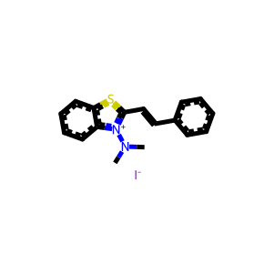 CN(C)[n+]1c(C=Cc2ccccc2)sc2ccccc21.[I-]